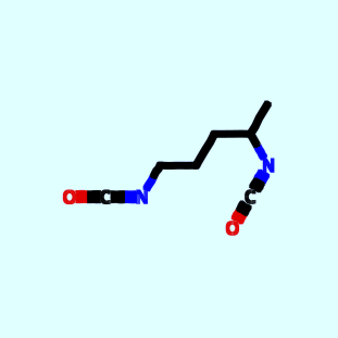 CC(CCCN=C=O)N=C=O